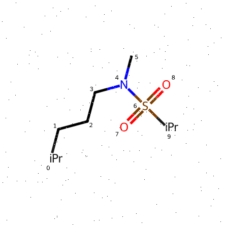 CC(C)CCCN(C)S(=O)(=O)C(C)C